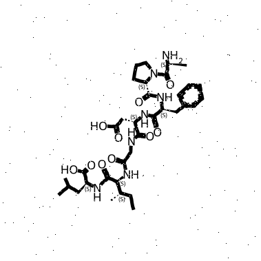 CC[C@H](C)[C@H](NC(=O)CNC(=O)[C@H](CC(=O)O)NC(=O)[C@H](Cc1ccccc1)NC(=O)[C@@H]1CCCN1C(=O)[C@H](C)N)C(=O)N[C@@H](CC(C)C)C(=O)O